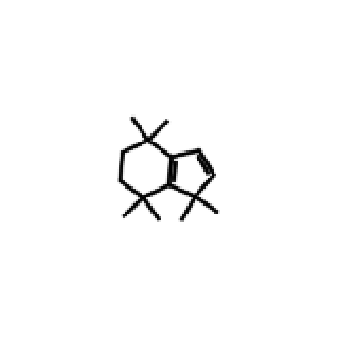 CC1(C)C=CC2=C1C(C)(C)CCC2(C)C